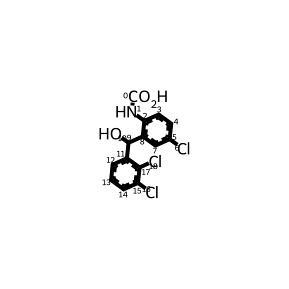 O=C(O)Nc1ccc(Cl)cc1C(O)c1cccc(Cl)c1Cl